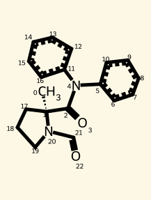 C[C@@]1(C(=O)N(c2ccccc2)c2ccccc2)CCCN1C=O